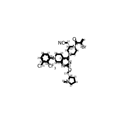 C=C(Br)C(=O)N1CCN(c2nc(OC[C@@H]3CCCN3C)nc3c2CCN(c2cccc(Cl)c2C(F)(F)F)C3)C[C@@H]1CC#N